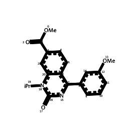 COC(=O)c1ccc2c(-c3cccc(OC)c3)nc(=O)n(C(C)C)c2c1